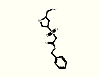 O=C(CS(=O)(=O)C1CNC(CO)C1)OCc1ccccc1